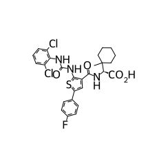 CC1([C@H](NC(=O)c2cc(-c3ccc(F)cc3)sc2NC(=O)Nc2c(Cl)cccc2Cl)C(=O)O)CCCCC1